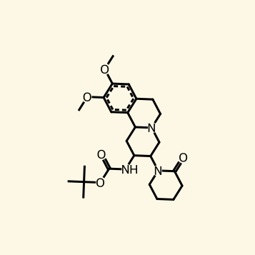 COc1cc2c(cc1OC)C1CC(NC(=O)OC(C)(C)C)C(N3CCCCC3=O)CN1CC2